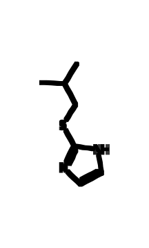 CC(C)CSc1ncc[nH]1